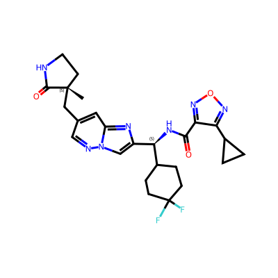 C[C@]1(Cc2cnn3cc([C@@H](NC(=O)c4nonc4C4CC4)C4CCC(F)(F)CC4)nc3c2)CCNC1=O